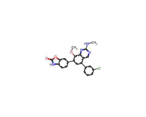 CNc1ncc2c(-c3cccc(Cl)c3)cc(-c3ccc4[nH]c(=O)oc4c3)c(OC)c2n1